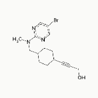 CN(CC1CCC(C#CCO)CC1)c1ncc(Br)cn1